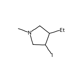 CCC1CN(C)CC1I